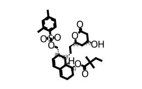 CCC(C)(C)C(=O)O[C@H]1CCC=C2C=C[C@H](COS(=O)(=O)c3ccc(C)cc3C)[C@H](CC[C@@H]3C[C@@H](O)CC(=O)O3)[C@H]21